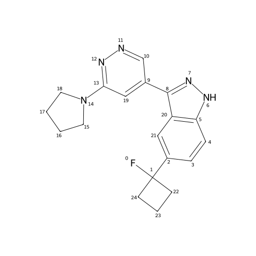 FC1(c2ccc3[nH]nc(-c4cnnc(N5CCCC5)c4)c3c2)CCC1